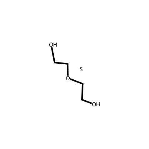 OCCOCCO.[S]